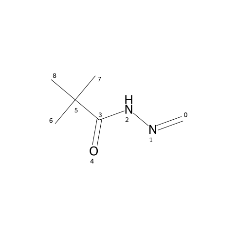 C=NNC(=O)C(C)(C)C